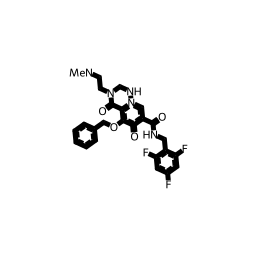 CNCCN1CNn2cc(C(=O)NCc3c(F)cc(F)cc3F)c(=O)c(OCc3ccccc3)c2C1=O